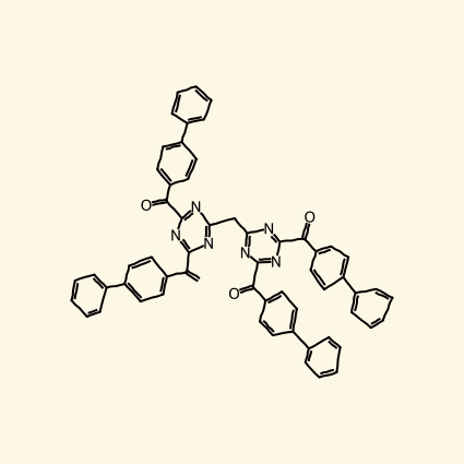 C=C(c1ccc(-c2ccccc2)cc1)c1nc(Cc2nc(C(=O)c3ccc(-c4ccccc4)cc3)nc(C(=O)c3ccc(-c4ccccc4)cc3)n2)nc(C(=O)c2ccc(-c3ccccc3)cc2)n1